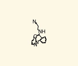 N#CCCNC(=O)c1ccccc1-n1nccn1